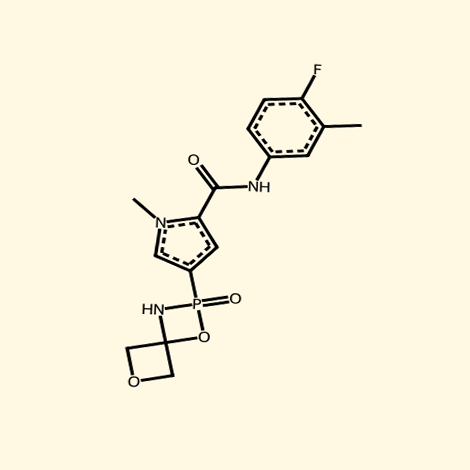 Cc1cc(NC(=O)c2cc(P3(=O)NC4(COC4)O3)cn2C)ccc1F